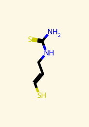 NC(=S)NCC=CS